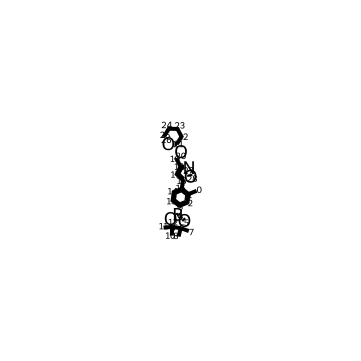 Cc1cc(B2OC(C)(C)C(C)(C)O2)ccc1-c1cc(COC2CCCCO2)no1